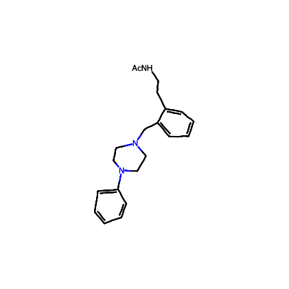 CC(=O)NCCc1ccccc1CN1CCN(c2ccccc2)CC1